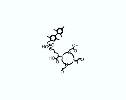 Cc1cc(C)c(-c2cc(C)c(OP(=O)(O)OCCC[C@H](C(=O)O)N3CCN(CC=O)CCN([C@H](C)C=O)CCN(CC(=O)O)CC3)cc2C)c(C)c1